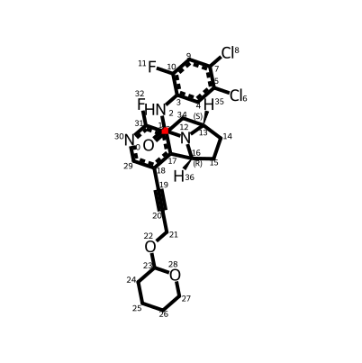 O=C(Nc1cc(Cl)c(Cl)cc1F)N1[C@H]2CC[C@@H]1c1c(C#CCOC3CCCCO3)cnc(F)c1C2